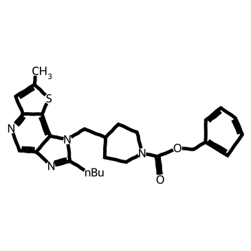 CCCCc1nc2cnc3cc(C)sc3c2n1CC1CCN(C(=O)OCc2ccccc2)CC1